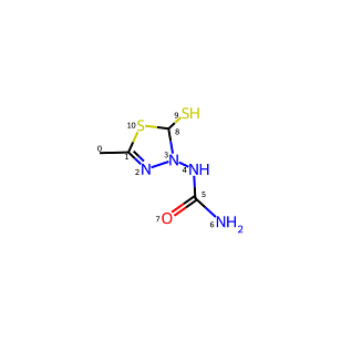 CC1=NN(NC(N)=O)C(S)S1